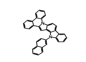 c1ccc2cc(-n3c4ccccc4c4ccc5c(cc6c7ccccc7c7ccccc7n65)c43)ccc2c1